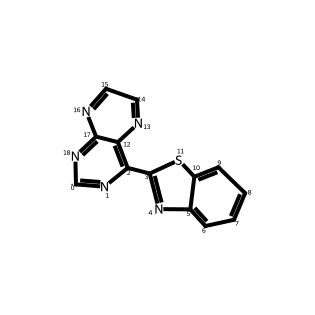 [c]1nc(-c2nc3ccccc3s2)c2nccnc2n1